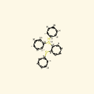 c1ccc(Sc2ccccc2[SH](c2ccccc2)c2ccccc2)cc1